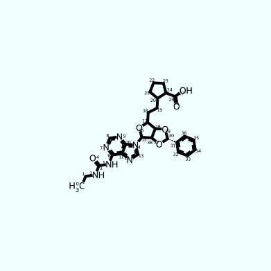 CCNC(=O)Nc1ncnc2c1ncn2C1OC(CCC2CCCC2C(=O)O)C2O[C@H](c3ccccc3)OC21